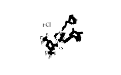 Cc1ccc(C[C@@H]2CN(CCCc3ccccc3)CCN2C(=O)c2cc(C(F)(F)F)cc(C(F)(F)F)c2)cc1C.Cl